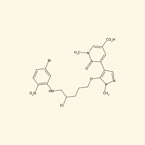 CCC(CCCOc1c(-c2cc(C(=O)O)cn(C)c2=O)cnn1C)CNc1cc(Br)ccc1[N+](=O)[O-]